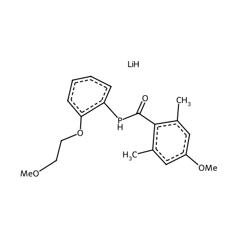 COCCOc1ccccc1PC(=O)c1c(C)cc(OC)cc1C.[LiH]